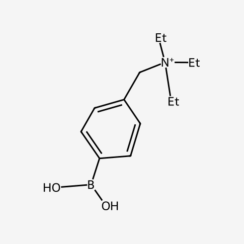 [CH2]C[N+](CC)(CC)Cc1ccc(B(O)O)cc1